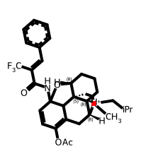 CC(=O)OC1=C2C[C@@H]3[C@@H]4CCC[C@H]5OC(NC(=O)C(=Cc6ccccc6)C(F)(F)F)(C=C1)C2[C@@]54CC[N+]3(C)CC(C)C